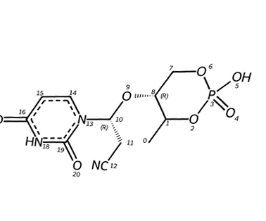 CC1OP(=O)(O)OC[C@H]1O[C@H](CC#N)n1ccc(=O)[nH]c1=O